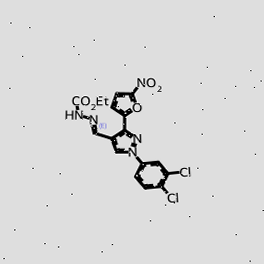 CCOC(=O)N/N=C/c1cn(-c2ccc(Cl)c(Cl)c2)nc1-c1ccc([N+](=O)[O-])o1